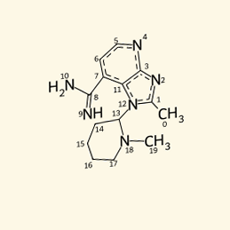 Cc1nc2nccc(C(=N)N)c2n1C1CCCCN1C